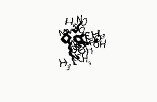 C[C@@H](Oc1cc(-n2cnc3ccc(C(CCCN(C)C)NS(=O)(=O)O)cc32)sc1C(N)=O)c1ccccc1C(F)(F)F.O=CO